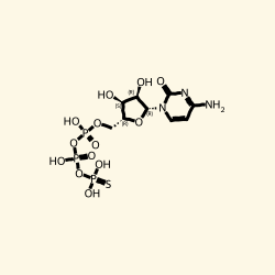 Nc1ccn([C@@H]2O[C@H](COP(=O)(O)OP(=O)(O)OP(O)(O)=S)[C@@H](O)[C@H]2O)c(=O)n1